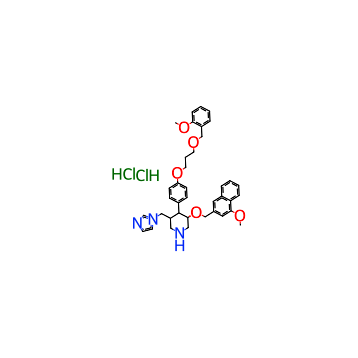 COc1ccccc1COCCCOc1ccc(C2C(Cn3ccnc3)CNC[C@@H]2OCc2cc(OC)c3ccccc3c2)cc1.Cl.Cl